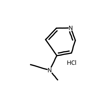 CN(C)c1ccncc1.Cl